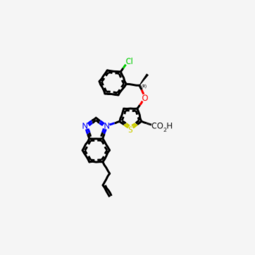 C=CCc1ccc2ncn(-c3cc(O[C@H](C)c4ccccc4Cl)c(C(=O)O)s3)c2c1